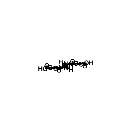 O=C(O)COCCOCC(=O)NCc1nnc(CNC(=O)COCCOCC(=O)O)nn1